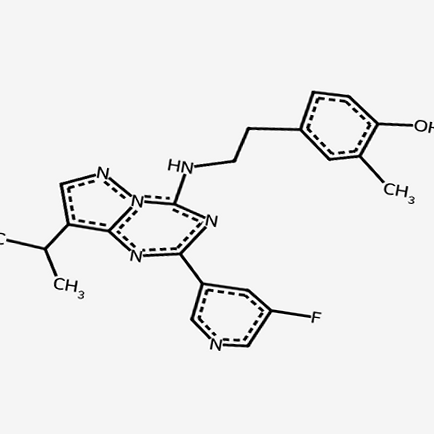 Cc1cc(CCNc2nc(-c3cncc(F)c3)nc3c(C(C)C)cnn23)ccc1O